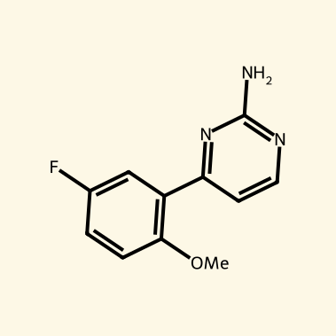 COc1ccc(F)cc1-c1ccnc(N)n1